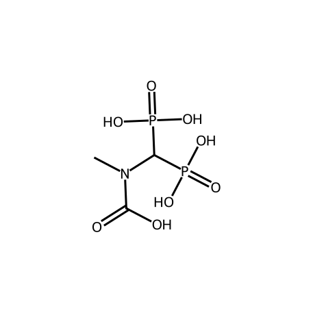 CN(C(=O)O)C(P(=O)(O)O)P(=O)(O)O